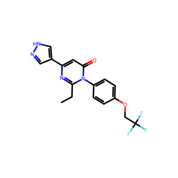 CCc1nc(-c2cn[nH]c2)cc(=O)n1-c1ccc(OCC(F)(F)F)cc1